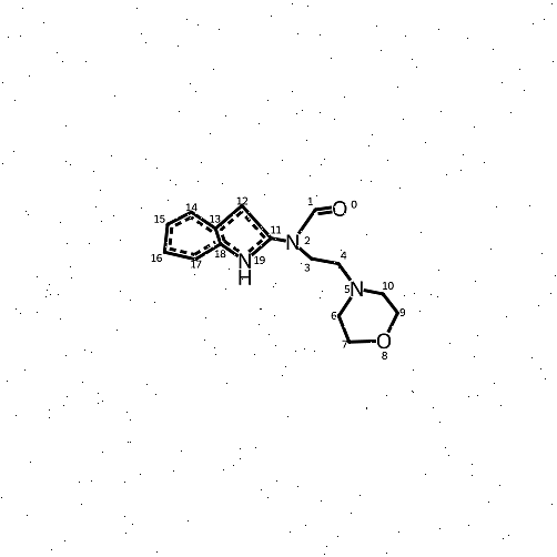 O=CN(CCN1CCOCC1)c1cc2ccccc2[nH]1